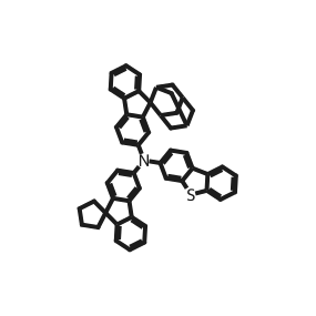 c1ccc2c(c1)-c1cc(N(c3ccc4c(c3)C3(c5ccccc5-4)C4CC5CC(C4)CC3C5)c3ccc4c(c3)sc3ccccc34)ccc1C21CCCC1